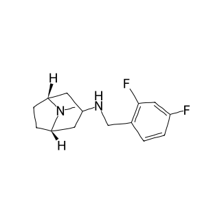 CN1[C@@H]2CC[C@H]1CC(NCc1ccc(F)cc1F)C2